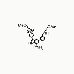 COCCCNCc1cccc(-c2cc(C(N)=O)c3[nH]cc(C4CCN(S(=O)(=O)CCCOC)CC4)c3c2)c1